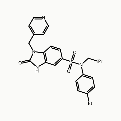 CCc1ccc(N(CC(C)C)S(=O)(=O)c2ccc3c(c2)[nH]c(=O)n3Cc2ccncc2)cc1